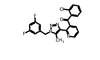 Cc1c(-c2ncccc2C(=O)c2ccccc2Cl)nnn1Cc1cc(F)cc(F)c1